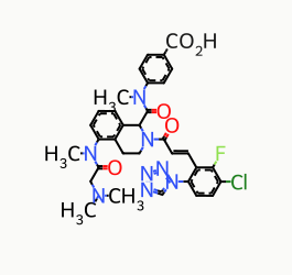 CN(C)CC(=O)N(C)c1cccc2c1CCN(C(=O)C=Cc1c(-n3cnnn3)ccc(Cl)c1F)C2C(=O)N(C)c1ccc(C(=O)O)cc1